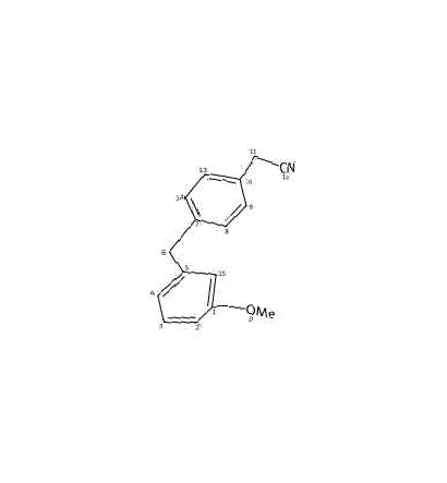 COc1cccc(Cc2ccc(CC#N)cc2)c1